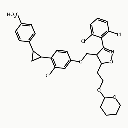 O=C(O)c1ccc(C2CC2c2ccc(OCC3C(c4c(Cl)cccc4Cl)=NOC3CCOC3CCCCO3)cc2Cl)cc1